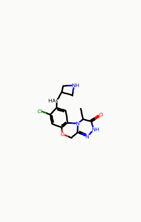 CC1C(=O)NN=C2COc3cc(Cl)c([AsH]C4CNC4)cc3N21